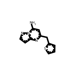 Nc1cc(Cc2cccs2)nc2ccnn12